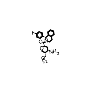 CCOC[C@@H]1CO[C@@H](C(=O)N2CCc3ccccc3[C@@H]2c2ccc(F)cc2)C[C@@H]1N